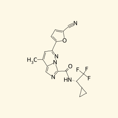 Cc1cc(-c2ccc(C#N)o2)nn2c(C(=O)N[C@@H](C3CC3)C(F)(F)F)ncc12